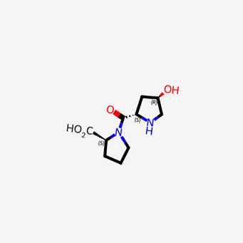 O=C(O)[C@@H]1CCCN1C(=O)[C@@H]1C[C@@H](O)CN1